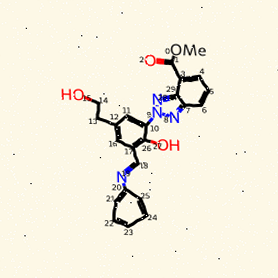 COC(=O)c1cccc2nn(-c3cc(CCO)cc(C=Nc4ccccc4)c3O)nc12